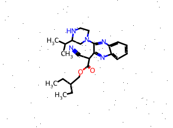 CCC(CC)COC(=O)C(C#N)c1nc2ccccc2nc1N1CCNC(C(C)C)C1